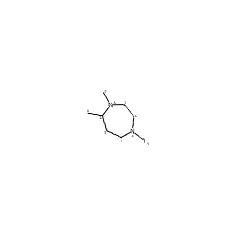 CC1CCN(I)CCN1C